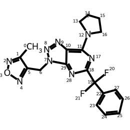 Cc1nonc1Cn1nnc2c(N3C[CH]CC3)nc(C(F)(F)c3ccccc3)nc21